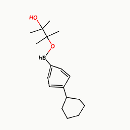 CC(C)(O)C(C)(C)OBc1ccc(C2CCCCC2)cc1